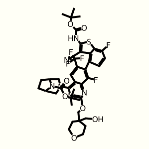 CC(C)(C)OC(=O)Nc1sc2c(F)ccc(-c3c(C(F)(F)F)cc4c(N5CC6CCC(C5)N6C(=O)OC(C)(C)C)nc(OCC5(CO)CCOCC5)nc4c3F)c2c1C#N